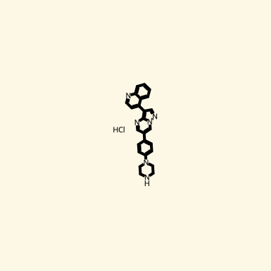 Cl.c1ccc2c(-c3cnn4cc(-c5ccc(N6CCNCC6)cc5)cnc34)ccnc2c1